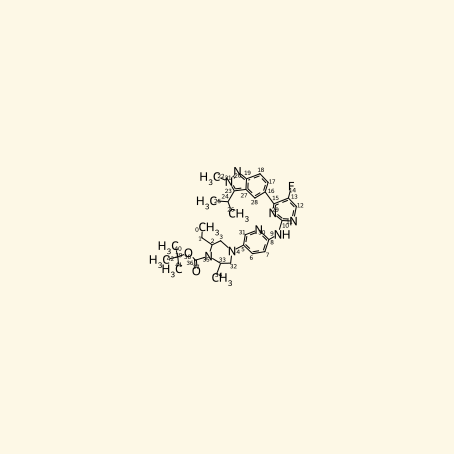 CCC1CN(c2ccc(Nc3ncc(F)c(-c4ccc5nn(C)c(C(C)C)c5c4)n3)nc2)CC(C)N1C(=O)OC(C)(C)C